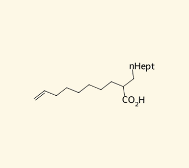 C=CCCCCCCC(CCCCCCCC)C(=O)O